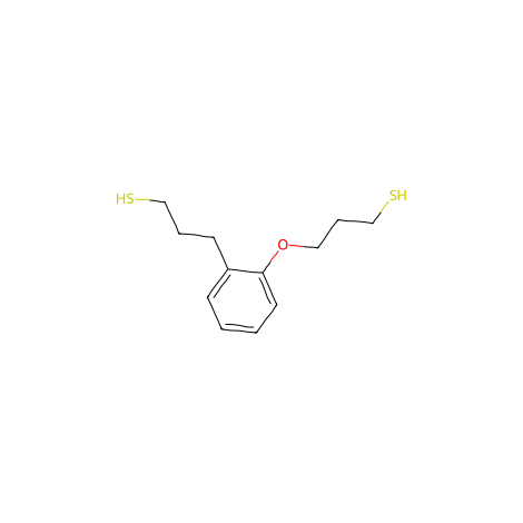 SCCCOc1ccccc1CCCS